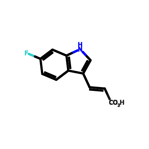 O=C(O)/C=C/c1c[nH]c2cc(F)ccc12